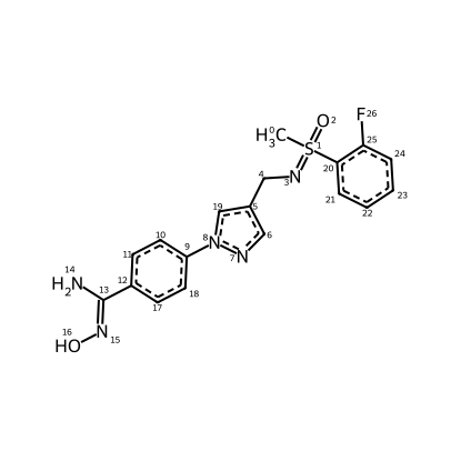 CS(=O)(=NCc1cnn(-c2ccc(/C(N)=N/O)cc2)c1)c1ccccc1F